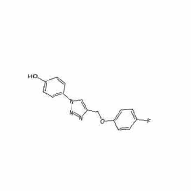 Oc1ccc(-n2cc(COc3ccc(F)cc3)nn2)cc1